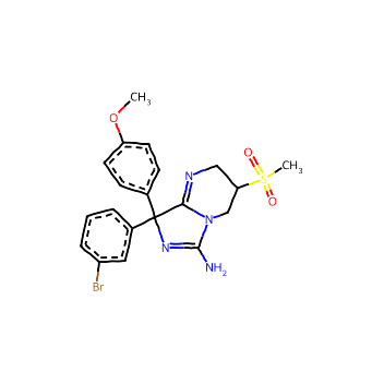 COc1ccc(C2(c3cccc(Br)c3)N=C(N)N3CC(S(C)(=O)=O)CN=C32)cc1